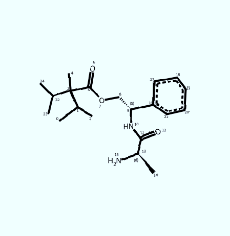 CC(C)C(C)(C(=O)OC[C@@H](NC(=O)[C@@H](C)N)c1ccccc1)C(C)C